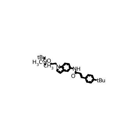 CC(C)(C)c1ccc(C=CC(=O)Nc2ccc3c(ccn3CCO[Si](C)(C)C(C)(C)C)c2)cc1